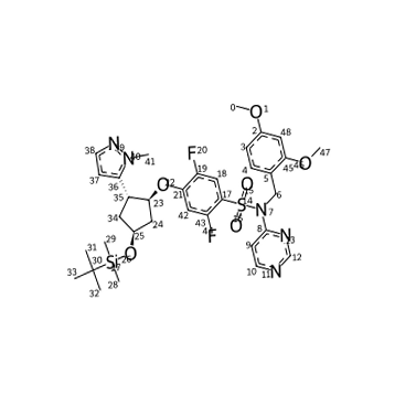 COc1ccc(CN(c2ccncn2)S(=O)(=O)c2cc(F)c(O[C@H]3C[C@@H](O[Si](C)(C)C(C)(C)C)C[C@@H]3c3ccnn3C)cc2F)c(OC)c1